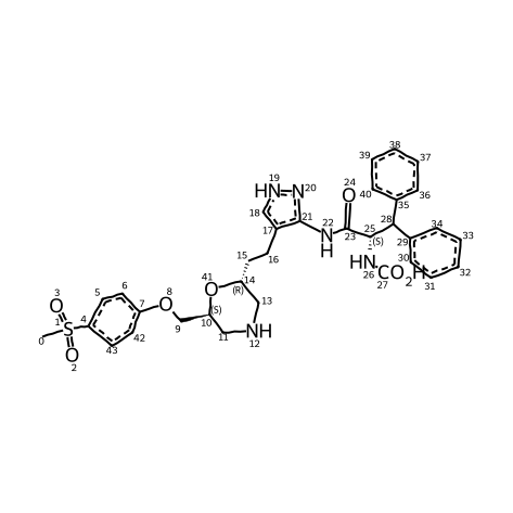 CS(=O)(=O)c1ccc(OC[C@@H]2CNC[C@@H](CCc3c[nH]nc3NC(=O)[C@@H](NC(=O)O)C(c3ccccc3)c3ccccc3)O2)cc1